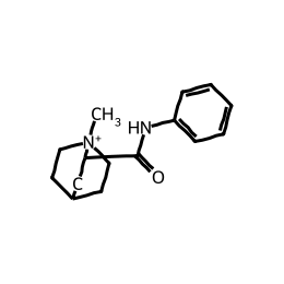 C[N+]12CCC(CC1)CC2C(=O)Nc1ccccc1